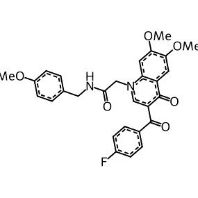 COc1ccc(CNC(=O)Cn2cc(C(=O)c3ccc(F)cc3)c(=O)c3cc(OC)c(OC)cc32)cc1